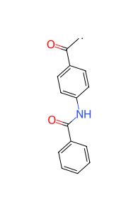 [CH2]C(=O)c1ccc(NC(=O)c2ccccc2)cc1